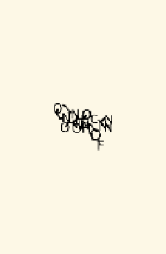 Cc1cnnn1-c1cc(F)ccc1CNC(=O)c1nc2n(c(=O)c1O)CCOCC2